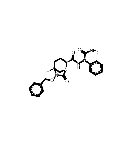 NC(=O)N(NC(=O)[C@@H]1CC[C@@H]2CN1C(=O)N2OCc1ccccc1)c1ccccc1